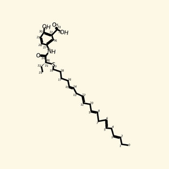 CCC=CCC=CCC=CCC=CCC=CCCCCS[C@H](CC)C(=O)Nc1ccc(O)c(C(=O)O)c1